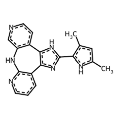 Cc1cc(C)c(-c2nc3c([nH]2)-c2ccncc2Nc2ncccc2-3)[nH]1